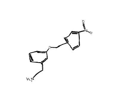 NCc1cccc(OCc2ccc([N+](=O)[O-])cc2)c1